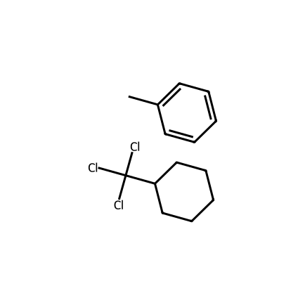 Cc1ccccc1.ClC(Cl)(Cl)C1CCCCC1